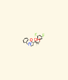 C[C@@H](Cc1cc(F)cc(F)c1)[C@H](O)C1CCN(Cc2ccccc2)C1=O